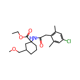 CCOC(=O)C1(NC(=O)Cc2c(C)cc(Cl)cc2C)CCCC(COC)C1